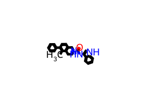 Cc1c(-c2ccccc2)ccc2c1CCN(C(=O)Nc1c[nH]c3ccccc13)C2